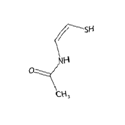 CC(=O)N/C=C\S